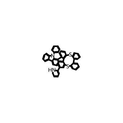 C1=CCNC(c2ccc3c(c2)Sc2ccccc2-c2ccccc2Sc2cccc(-c4cccc5c6ccccc6n(-c6ccccc6)c45)c2-3)=C1